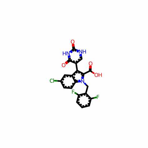 O=C(O)c1c(-c2c[nH]c(=O)[nH]c2=O)c2cc(Cl)ccc2n1Cc1c(F)cccc1F